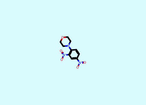 O=[N+]([O-])c1[c]c([N+](=O)[O-])c(N2CCOCC2)cc1